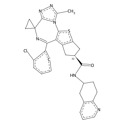 Cc1nnc2n1-c1sc3c(c1C(c1ccccc1Cl)=NC21CC1)C[C@H](C(=O)NC1CCc2ncccc2C1)C3